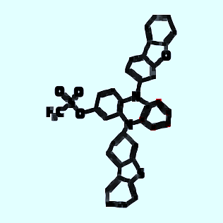 O=S(=O)(Oc1ccc(N(c2ccccc2)c2ccc3c(c2)oc2ccccc23)c(N(c2ccccc2)c2ccc3c(c2)sc2ccccc23)c1)C(F)(F)F